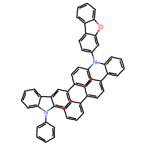 c1ccc(-c2ccc(-c3ccccc3N(c3ccc(-c4ccc5c(c4)c4ccccc4n5-c4ccccc4)cc3)c3ccc4c(c3)oc3ccccc34)cc2)cc1